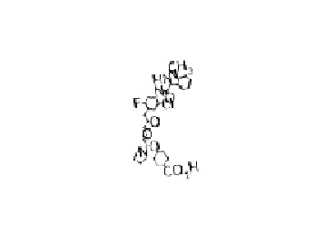 Cn1nc(C(=O)Nc2cc(F)c(CC(=O)COCC(O[C@H]3CC[C@H](C(=O)O)CC3)N3CCCC3)cc2Cl)c2ccccc21